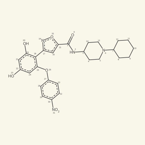 O=C(NC1CCN(C2CCCCC2)CC1)c1cc(-c2c(O)cc(O)cc2Oc2ccc([N+](=O)[O-])cc2)no1